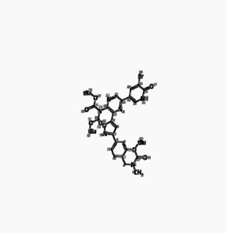 CN(Cc1ccc(-c2cc(-c3nc(-c4c[nH]c(=O)c(Br)c4)cnc3N(C(=O)OC(C)(C)C)C(=O)OC(C)(C)C)on2)cc1)C(=O)OC(C)(C)C